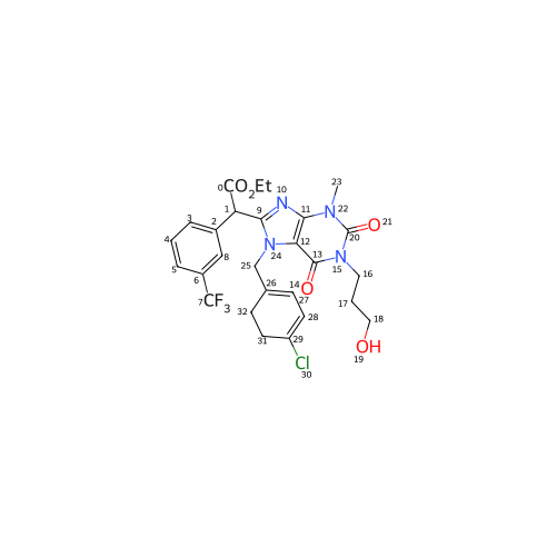 CCOC(=O)C(c1cccc(C(F)(F)F)c1)c1nc2c(c(=O)n(CCCO)c(=O)n2C)n1CC1=CC=C(Cl)CC1